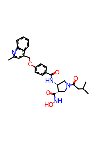 Cc1cc(COc2ccc(C(=O)N[C@@H]3CN(C(=O)CC(C)C)C[C@@H]3C(=O)NO)cc2)c2ccccc2n1